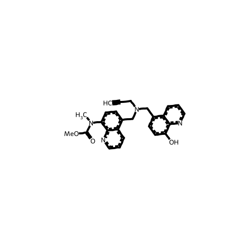 C#CCN(Cc1ccc(O)c2ncccc12)Cc1ccc(N(C)C(=O)OC)c2ncccc12